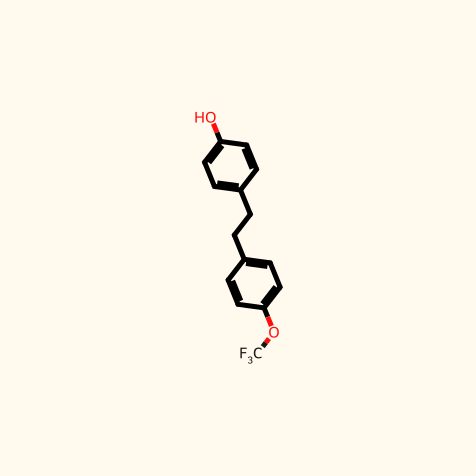 Oc1ccc(CCc2ccc(OC(F)(F)F)cc2)cc1